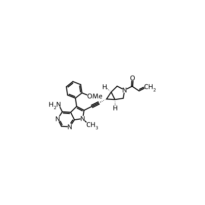 C=CC(=O)N1C[C@@H]2[C@@H](C#Cc3c(-c4ccccc4OC)c4c(N)ncnc4n3C)[C@@H]2C1